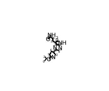 CC(C)Oc1ccc(-c2cnc3[nH]cc(/C=C/C(N)=O)c3n2)cn1